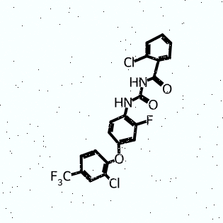 O=C(NC(=O)c1ccccc1Cl)Nc1ccc(Oc2ccc(C(F)(F)F)cc2Cl)cc1F